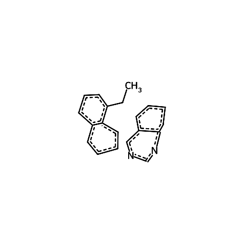 CCc1cccc2ccccc12.c1ccc2ncncc2c1